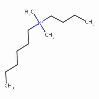 CCCCCC[N+](C)(C)CCCC